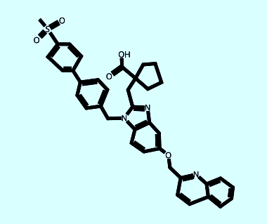 CS(=O)(=O)c1ccc(-c2ccc(Cn3c(CC4(C(=O)O)CCCC4)nc4cc(OCc5ccc6ccccc6n5)ccc43)cc2)cc1